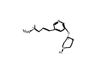 CN[C@@H](C)CC=Cc1cncc(O[C@@H]2CCN(C(C)=O)C2)c1